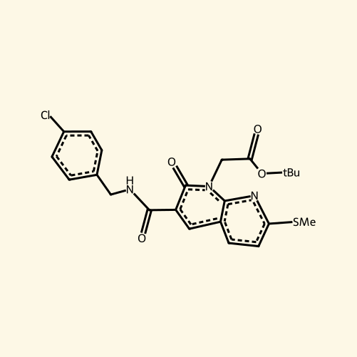 CSc1ccc2cc(C(=O)NCc3ccc(Cl)cc3)c(=O)n(CC(=O)OC(C)(C)C)c2n1